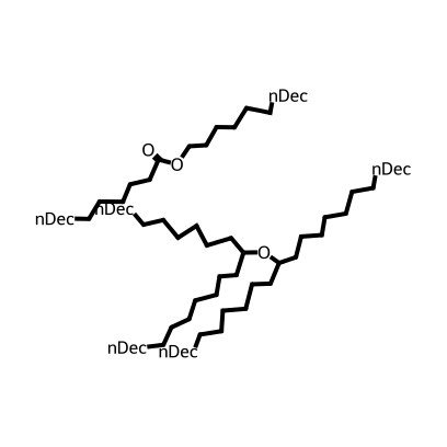 CCCCCCCCCCCCCCCCCC(CCCCCCCCCCCCCCCC)OC(CCCCCCCCCCCCCCCC)CCCCCCCCCCCCCCCCC.CCCCCCCCCCCCCCCCOC(=O)CCCCCCCCCCCCCCC